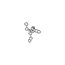 c1ccc(-c2cccc(N(c3ccc(-c4ccc5ccccc5c4)cc3)c3ccnc4c3oc3cc5ccccc5cc34)c2)cc1